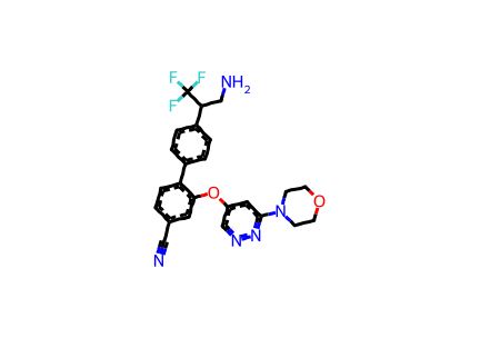 N#Cc1ccc(-c2ccc(C(CN)C(F)(F)F)cc2)c(Oc2cnnc(N3CCOCC3)c2)c1